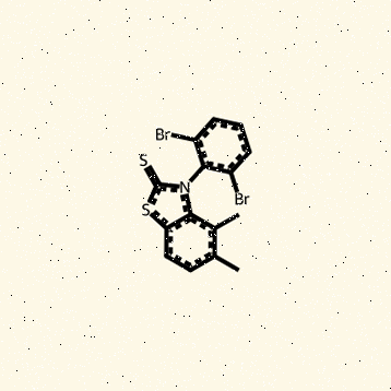 Cc1ccc2sc(=S)n(-c3c(Br)cccc3Br)c2c1C